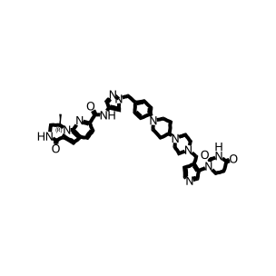 C[C@@H]1CNC(=O)c2cc3ccc(C(=O)Nc4cnn(Cc5ccc(N6CCC(N7CCN(Cc8ccncc8N8CCC(=O)NC8=O)CC7)CC6)cc5)c4)nc3n21